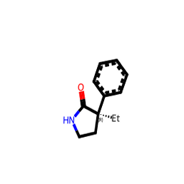 CC[C@]1(c2ccccc2)CCNC1=O